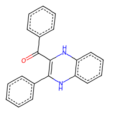 O=C(C1=C(c2ccccc2)Nc2ccccc2N1)c1ccccc1